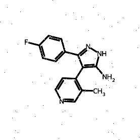 Cc1cnccc1-c1c(-c2ccc(F)cc2)n[nH]c1N